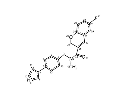 CN(Cc1ccc(-c2c[nH]cn2)cc1)C(=O)C1=Cc2cc(F)ccc2OC1